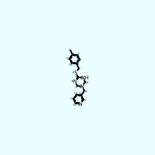 Cc1ccc(CSC2=NCN(Cc3cccnc3)CN2)cc1